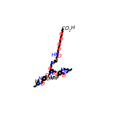 C/C=C1\CC2C=Nc3cc(OCc4cc(OCCN(C)CC(C)(C)SCC(=O)NCCOCCOCCOCCOCCC(=O)O)cc(COc5cc6c(cc5OC)C(=O)N5C/C(=C/C)C[C@H]5C=N6)n4)c(OC)cc3C(=O)N2C1